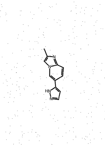 Cc1cn2cc(-c3ccn[nH]3)ccc2n1